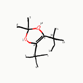 CC1(C)OC(C(C)(C)C)=C(C(C)(C)C)O1